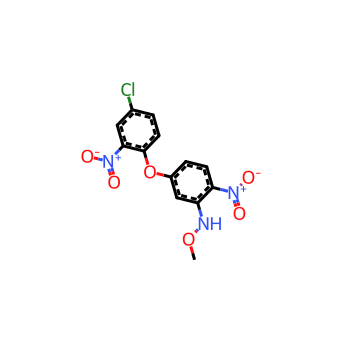 CONc1cc(Oc2ccc(Cl)cc2[N+](=O)[O-])ccc1[N+](=O)[O-]